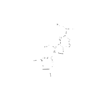 CC(C)c1ccc2[nH]c(-c3cc(F)cc(F)c3)c(C=O)c2c1